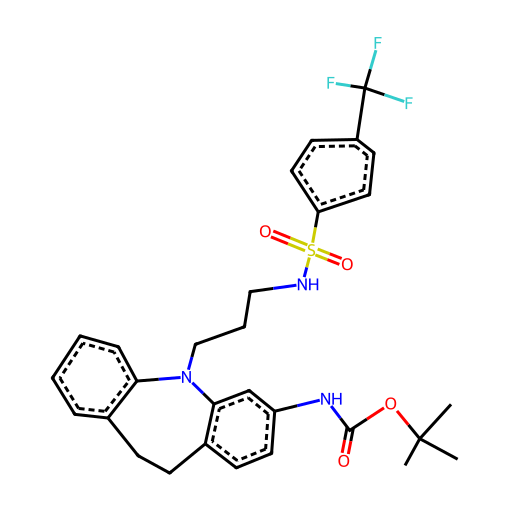 CC(C)(C)OC(=O)Nc1ccc2c(c1)N(CCCNS(=O)(=O)c1ccc(C(F)(F)F)cc1)c1ccccc1CC2